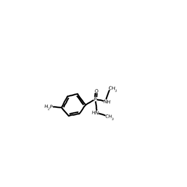 CNP(=O)(NC)c1ccc(P)cc1